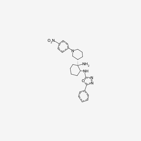 NC1([C@H]2CCCN(c3ccc([N+](=O)[O-])cc3)C2)CCCCC1Nc1nnc(-c2ccccc2)o1